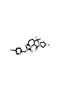 O=C(C1C(C(F)(F)F)CCc2nn(Cc3ccc(Cl)cn3)c(=O)n21)N1CC[C@H](F)C1